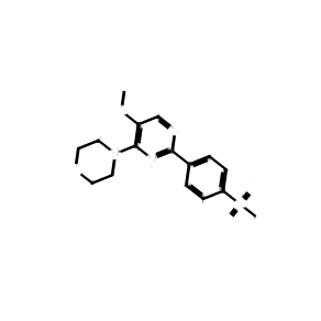 CSc1cnc(-c2ccc(S(C)(=O)=O)cc2)nc1N1CCOCC1